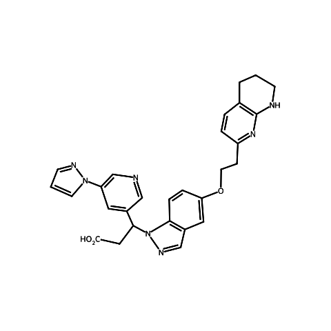 O=C(O)CC(c1cncc(-n2cccn2)c1)n1ncc2cc(OCCc3ccc4c(n3)NCCC4)ccc21